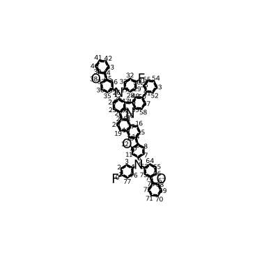 Fc1ccc(N(c2ccc3c(c2)oc2c3ccc3c2ccc2c4ccc(N(c5ccc(F)cc5)c5ccc6oc7ccccc7c6c5)c5c6cc(-c7ccccc7)ccc6n(c32)c45)c2ccc3oc4ccccc4c3c2)cc1